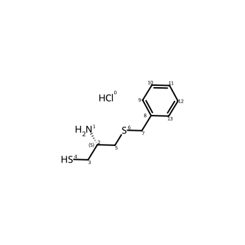 Cl.N[C@@H](CS)CSCc1ccccc1